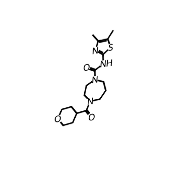 Cc1nc(NC(=O)N2CCCN(C(=O)C3CCOCC3)CC2)sc1C